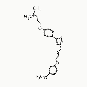 CN(C)CCCOc1ccc(-c2nnc(CSCCOc3ccc(OC(F)(F)F)cc3)o2)cc1